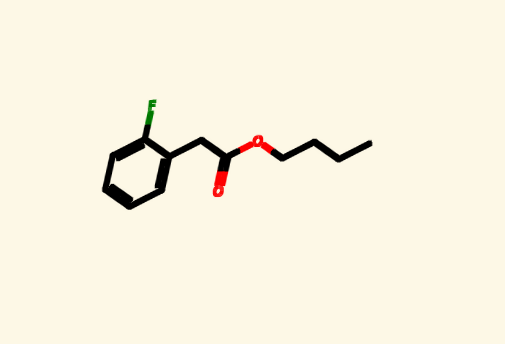 CCCCOC(=O)Cc1ccccc1F